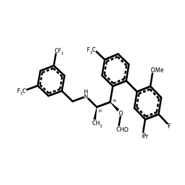 COc1cc(F)c(C(C)C)cc1-c1ccc(C(F)(F)F)cc1[C@@H](OC=O)[C@@H](C)NCc1cc(C(F)(F)F)cc(C(F)(F)F)c1